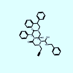 C#CCN1CC(=O)N2[C@@H](c3ccccc3)C(=O)N(CC(c3ccccc3)c3ccccc3)C[C@@H]2N1C(O)NCc1ccccc1